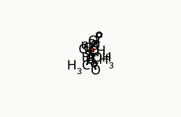 CCCC(=O)O[C@@]1(C(=O)COC(=O)Cc2ccccc2)CC[C@H]2[C@@H]3CC(C)C4=CC(=O)C=C[C@]4(C)[C@@]3(F)[C@@H](O)C[C@@]21C